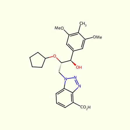 COc1cc([C@@H](O)[C@H](Cn2nnc3c(C(=O)O)cccc32)OC2CCCC2)cc(OC)c1C